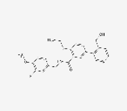 CCSc1ccc(-c2cnccc2CO)cc1C(=O)NCc1ccc(OC)c(F)c1